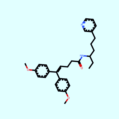 CCC(CCCc1cccnc1)NC(=O)CCC=C(c1ccc(OC)cc1)c1ccc(OC)cc1